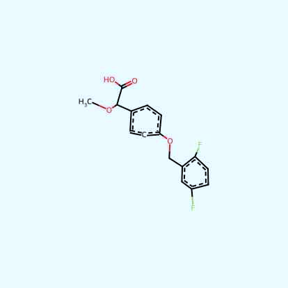 COC(C(=O)O)c1ccc(OCc2cc(F)ccc2F)cc1